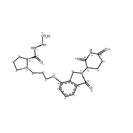 CCOC(=O)NNC(=O)[C@@H]1CCCN1CCCOc1cccc2c1CN(C1CCC(=O)NC1=O)C2=O